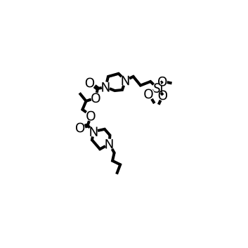 CCCCN1CCN(C(=O)OCC(C)OC(=O)N2CCN(CCC[Si](OC)(OC)OC)CC2)CC1